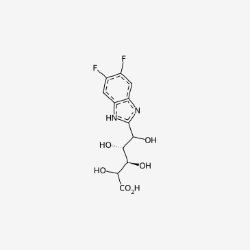 O=C(O)C(O)[C@H](O)[C@H](O)C(O)c1nc2cc(F)c(F)cc2[nH]1